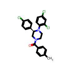 Cc1ccc(C(=O)N2CCN(c3ccc(Cl)cc3Cl)[C@H](c3ccc(Cl)cc3)C2)cc1